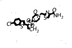 C=CC(c1cc2ccc(Cl)cc2s1)S(=O)(=O)N1CCN(Cc2nc(C(N)=O)cs2)C(=O)C1